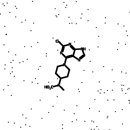 CN(C(=O)O)C1CCN(c2nc(Cl)nc3[nH]cnc23)CC1